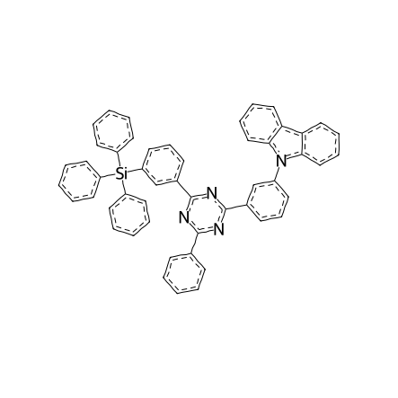 c1ccc(-c2nc(-c3cccc(-n4c5ccccc5c5ccccc54)c3)nc(-c3cccc([Si](c4ccccc4)(c4ccccc4)c4ccccc4)c3)n2)cc1